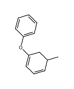 CC1C=CC=C(Oc2ccccc2)C1